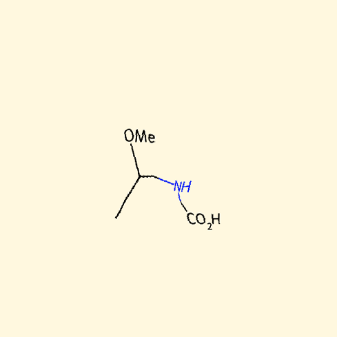 COC(C)NC(=O)O